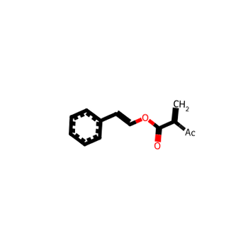 C=C(C(C)=O)C(=O)OC=Cc1ccccc1